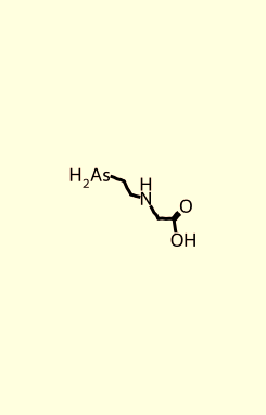 O=C(O)CNCC[AsH2]